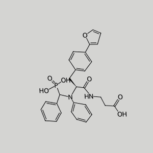 O=C(O)CCNC(=O)[C@H](Cc1ccc(-c2ccco2)cc1)N(c1ccccc1)C(c1ccccc1)P(=O)(O)O